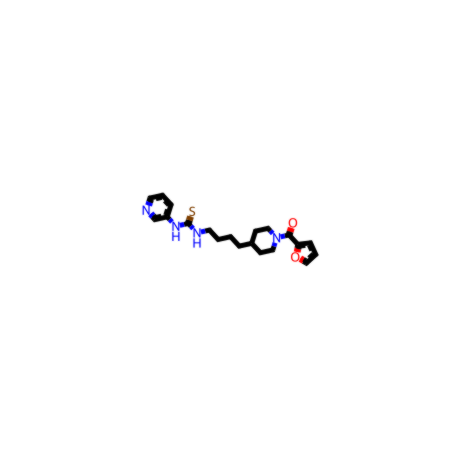 O=C(c1ccco1)N1CCC(CCCCNC(=S)Nc2cccnc2)CC1